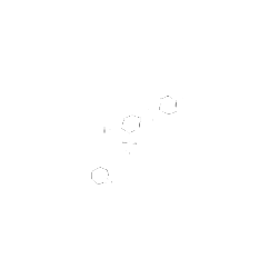 Cc1cc(F)ccc1S(=O)(=O)c1ccc(C(C)C)c(S(=O)(=O)NCCc2ccccn2)c1